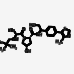 CC(=O)C(C)(C)CN[C@H](C(=O)N1C[C@H](O)C[C@H]1C(=O)NC(CO)c1ccc(-c2scnc2C)cc1)C(C)(C)C